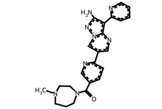 CN1CCCN(C(=O)c2ccc(-c3cnc4c(-c5ccccn5)c(N)nn4c3)nc2)CC1